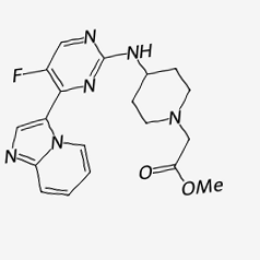 COC(=O)CN1CCC(Nc2ncc(F)c(-c3cnc4ccccn34)n2)CC1